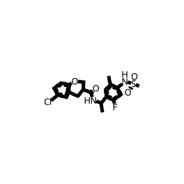 Cc1cc(C(C)NC(=O)C2COc3ccc(Cl)cc3C2)c(F)cc1NS(C)(=O)=O